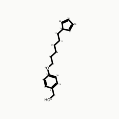 OCc1ccc(OCCCCCCC2C=CC=C2)cc1